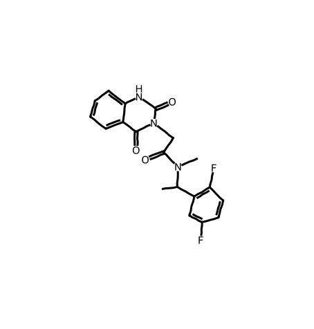 CC(c1cc(F)ccc1F)N(C)C(=O)Cn1c(=O)[nH]c2ccccc2c1=O